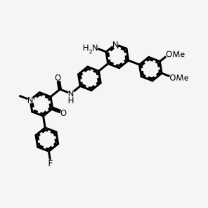 COc1ccc(-c2cnc(N)c(-c3ccc(NC(=O)c4cn(C)cc(-c5ccc(F)cc5)c4=O)cc3)c2)cc1OC